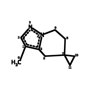 Cc1cnn2c1CC1(CC2)CC1